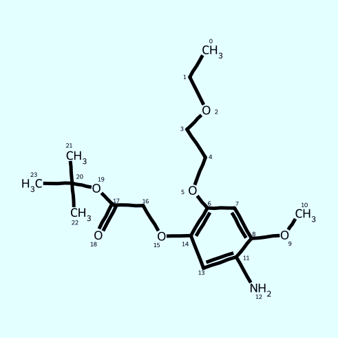 CCOCCOc1cc(OC)c(N)cc1OCC(=O)OC(C)(C)C